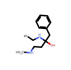 CC(C)CNC(O)(CCNC(=O)O)Cc1ccccc1